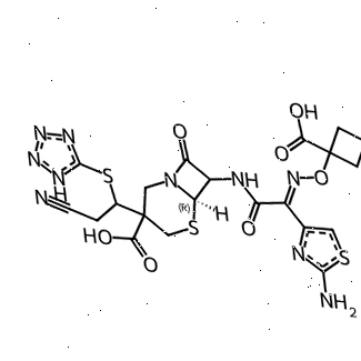 N#CCC(Sc1nnn[nH]1)C1(C(=O)O)CS[C@@H]2C(NC(=O)C(=NOC3(C(=O)O)CCC3)c3csc(N)n3)C(=O)N2C1